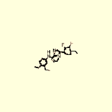 C=Cc1ccc(Nc2nccn3c(-c4ccc(CC)c(F)c4F)cnc23)cc1CC